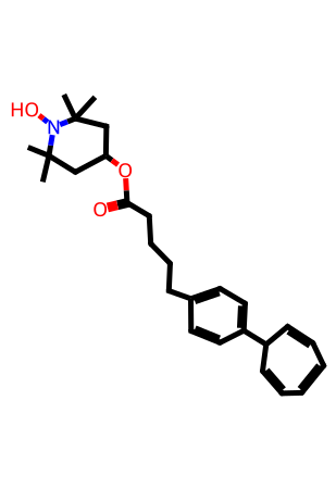 CC1(C)CC(OC(=O)CCCCc2ccc(C3C=CC=CC=C3)cc2)CC(C)(C)N1O